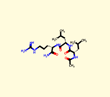 CC(=O)N[C@@H](CC(C)C)C(=O)N[C@@H](CC(C)C)C(=O)N[C@@H](CCCNC(=N)N)C(N)=O